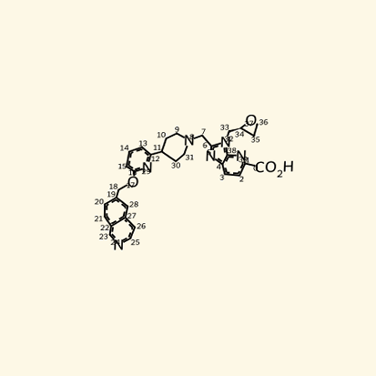 O=C(O)c1ccc2nc(CN3CCC(c4cccc(OCc5ccc6cnccc6c5)n4)CC3)n(C[C@@H]3CCO3)c2n1